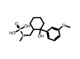 COc1cccc(C2(O)CCCCC2CN(C)P(=O)(O)O)c1